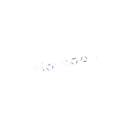 CC(C)(C)c1ccc(-c2ccc(S(=O)(=O)N3CCN(c4ncc(C(=O)NO)cn4)CC3)cc2)cc1